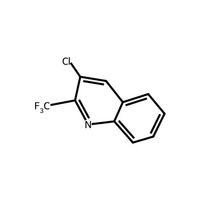 FC(F)(F)c1nc2ccccc2cc1Cl